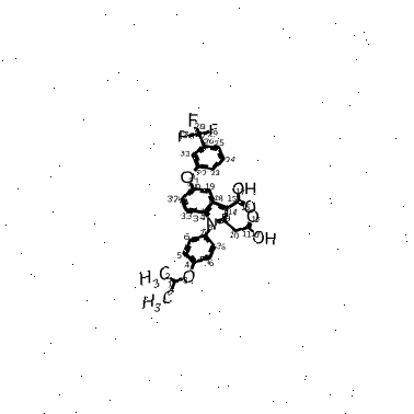 CC(C)Oc1ccc(-n2c(CC(=O)O)c(C(=O)O)c3cc(Oc4cccc(C(F)(F)F)c4)ccc32)cc1